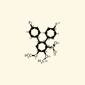 COc1cc(-c2ccc(F)cc2)c(-c2ccc(F)cc2)c([N+](=O)[O-])c1OC